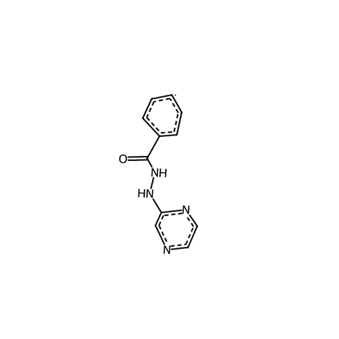 O=C(NNc1cnccn1)c1cc[c]cc1